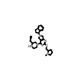 C#CCC1CN(c2nc(OCC3CCCN3C)nc3c2CN(C2CCc4ccccc42)C3)CCN1